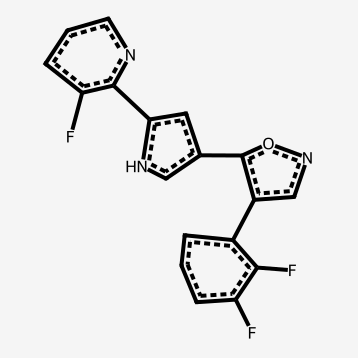 Fc1cccnc1-c1cc(-c2oncc2-c2cccc(F)c2F)c[nH]1